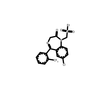 CCS(=O)(=O)CN1C(=O)CN=C(c2ccccc2C(F)(F)F)c2cc(Cl)ccc21